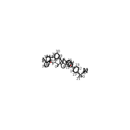 C=C(CCF)C(=O)N(CC12CCC(c3ccc(C4(C#N)CC4)cc3)(CC1)OC2)c1cccc(-c2ccnc(OC)c2)c1